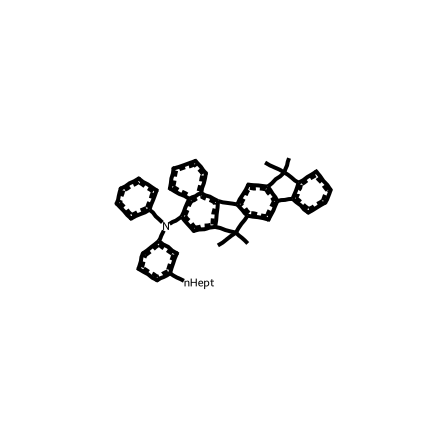 CCCCCCCc1cccc(N(c2ccccc2)c2cc3c(c4ccccc24)-c2cc4c(cc2C3(C)C)-c2ccccc2C4(C)C)c1